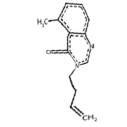 C=CCCn1cnc2cccc(C)c2c1=O